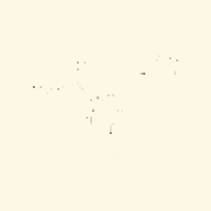 CCn1cc(Cc2cccs2)c(C(=O)OC)n1